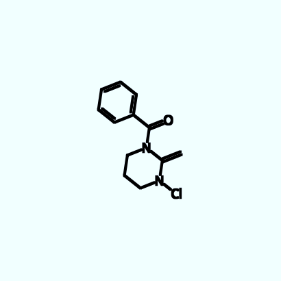 C=C1N(Cl)CCCN1C(=O)c1ccccc1